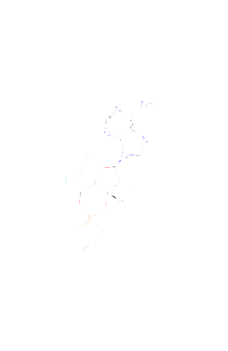 CC(C)OP1(=S)OC[C@@]2(C(F)F)O[C@@H](n3cnc4c(N)ncnc43)[C@H](F)[C@@H]2O1